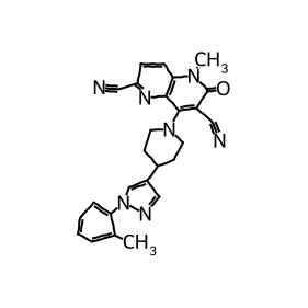 Cc1ccccc1-n1cc(C2CCN(c3c(C#N)c(=O)n(C)c4ccc(C#N)nc34)CC2)cn1